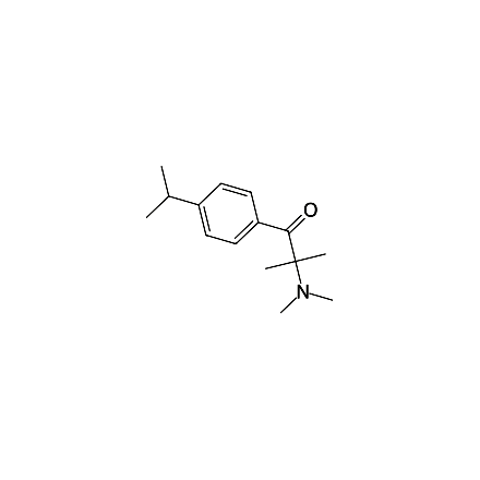 CC(C)c1ccc(C(=O)C(C)(C)N(C)C)cc1